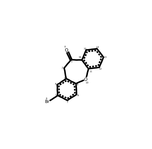 O=C1Cc2cc(Br)ccc2Oc2ccccc21